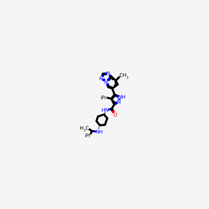 Cc1cc(-c2[nH]nc(C(=O)N[C@H]3CC[C@@H](NC(C)C(C)C)CC3)c2C(C)C)cn2ncnc12